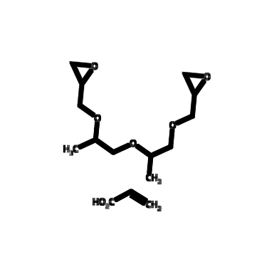 C=CC(=O)O.CC(COCC1CO1)OCC(C)OCC1CO1